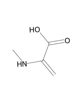 C=C(NC)C(=O)O